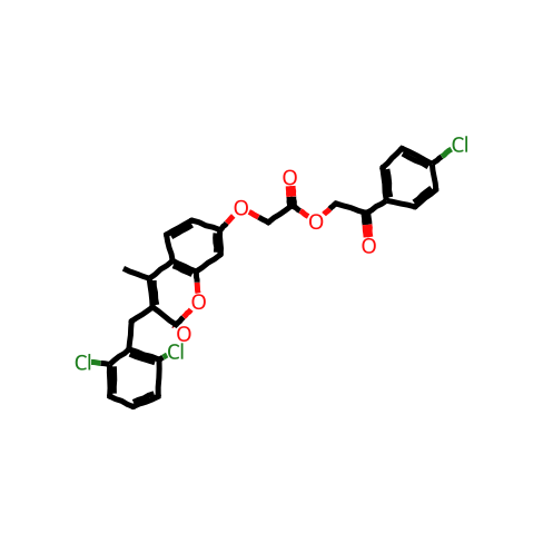 Cc1c(Cc2c(Cl)cccc2Cl)c(=O)oc2cc(OCC(=O)OCC(=O)c3ccc(Cl)cc3)ccc12